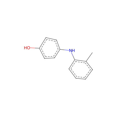 Cc1ccccc1Nc1ccc(O)cc1